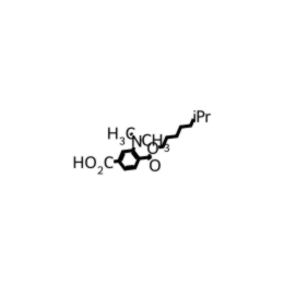 CC(C)CCCCCOC(=O)c1ccc(C(=O)O)cc1N(C)C